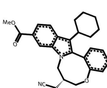 COC(=O)c1ccc2c(C3CCCCC3)c3n(c2c1)C[C@@H](CC#N)COc1ccccc1-3